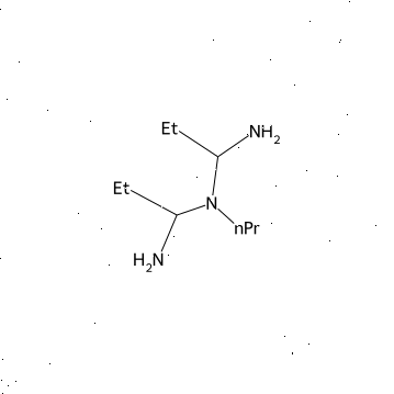 CCCN(C(N)CC)C(N)CC